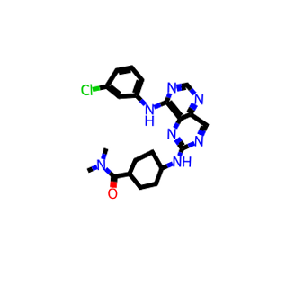 CN(C)C(=O)C1CCC(Nc2ncc3ncnc(Nc4cccc(Cl)c4)c3n2)CC1